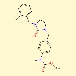 Cc1ccccc1CN1CCN(Cc2ccc(N(C)C(=O)OC(C)(C)C)cc2)C1=O